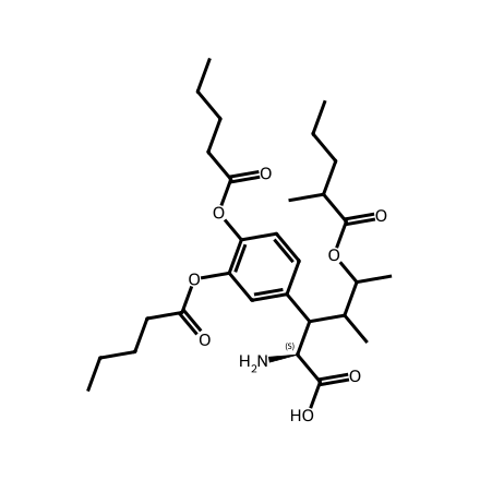 CCCCC(=O)Oc1ccc(C(C(C)C(C)OC(=O)C(C)CCC)[C@H](N)C(=O)O)cc1OC(=O)CCCC